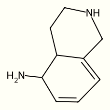 NC1C=CC=C2CNCCC21